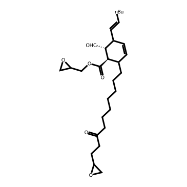 CCCC/C=C/C1C=CC(CCCCCCCC(=O)CCC2CO2)[C@@H](C(=O)OCC2CO2)[C@@H]1C=O